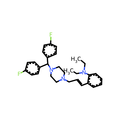 CCN(CC)c1ccccc1/C=C/CN1CCN(C(c2ccc(F)cc2)c2ccc(F)cc2)CC1